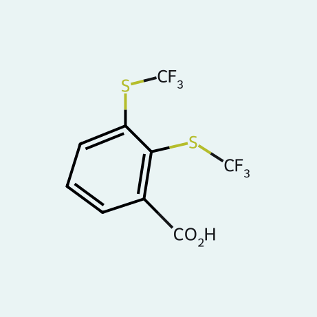 O=C(O)c1cccc(SC(F)(F)F)c1SC(F)(F)F